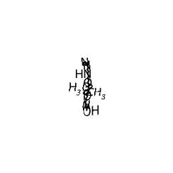 Cc1c(OCCCNCCCn2ccnc2)cccc1-c1cccc(OCCCN2CCC(O)C2)c1C